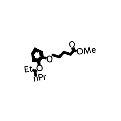 CCCC(CC)Oc1ccccc1OCCCCC(=O)OC